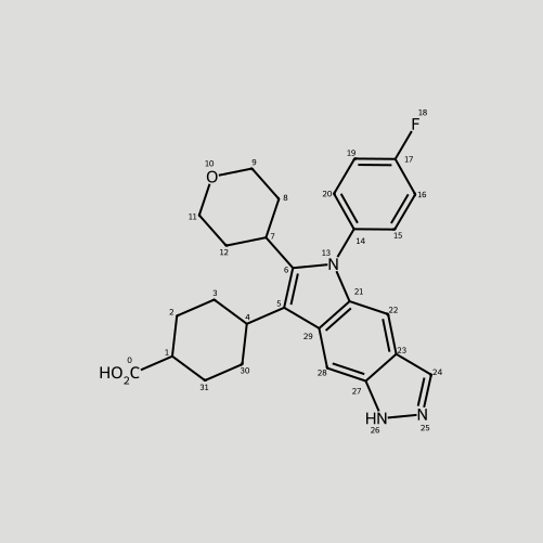 O=C(O)C1CCC(c2c(C3CCOCC3)n(-c3ccc(F)cc3)c3cc4cn[nH]c4cc23)CC1